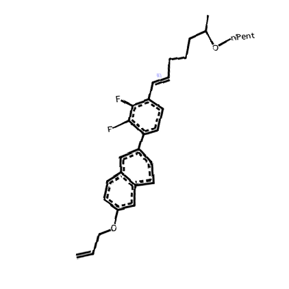 C=CCOc1ccc2cc(-c3ccc(/C=C/CCCC(C)OCCCCC)c(F)c3F)ccc2c1